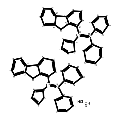 C1=CC[C]([Hf]([c]2cccc3c2Cc2ccccc2-3)=[Si](c2ccccc2)c2ccccc2)=C1.C1=CC[C]([Hf]([c]2cccc3c2Cc2ccccc2-3)=[Si](c2ccccc2)c2ccccc2)=C1.Cl.Cl